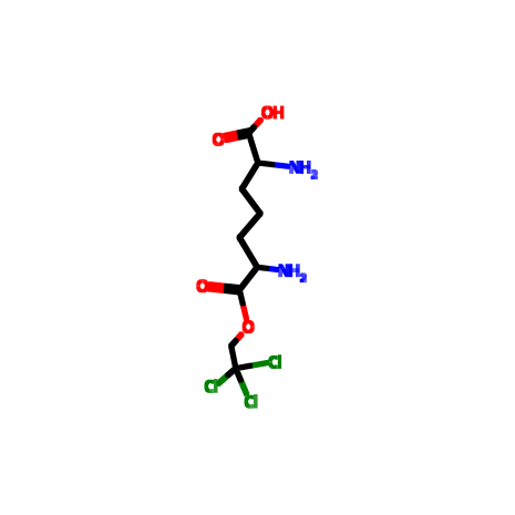 NC(CCCC(N)C(=O)OCC(Cl)(Cl)Cl)C(=O)O